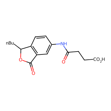 CCCCC1OC(=O)c2cc(NC(=O)CCC(=O)O)ccc21